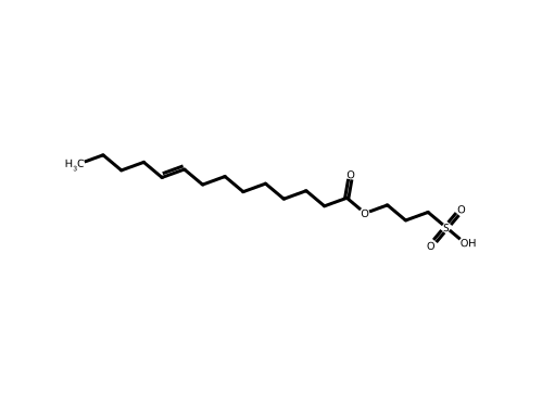 CCCCC=CCCCCCCCC(=O)OCCCS(=O)(=O)O